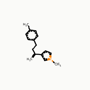 C=C(CCc1ccc(C)cc1)c1ccp(C)c1